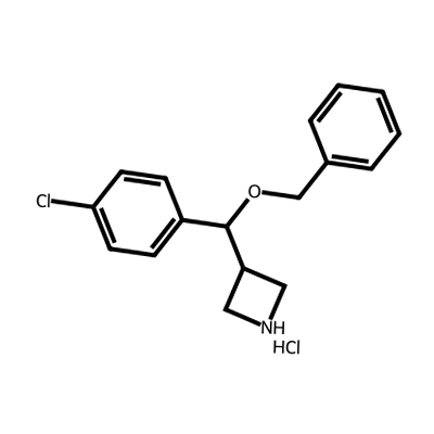 Cl.Clc1ccc(C(OCc2ccccc2)C2CNC2)cc1